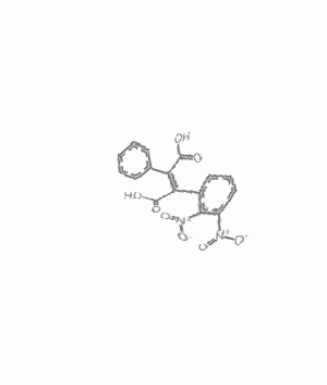 O=C(O)C(=C(C(=O)O)c1cccc([N+](=O)[O-])c1[N+](=O)[O-])c1ccccc1